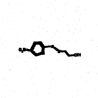 O=[N+]([O-])c1ccc(SSCCO)nc1